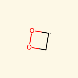 [CH]1COO1